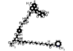 CC[C@@]1(O)C(=O)OCc2c1cc1n(c2=O)Cc2c-1nc1cc(F)c(C)c3c1c2[C@@H](NC(=O)COCNC(=O)CNC(=O)OCc1ccc(NC(=O)[C@H](CCCNC(N)=O)NC(=O)[C@@H](NC(=O)CCOCCOCCOCCOCCNC(=O)COC2/C=C(/C)CCCCC2)C(C)C)cc1)CC3